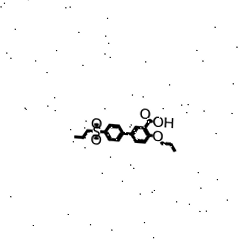 CCCOc1ccc(-c2ccc(S(=O)(=O)CCC)cc2)cc1C(=O)O